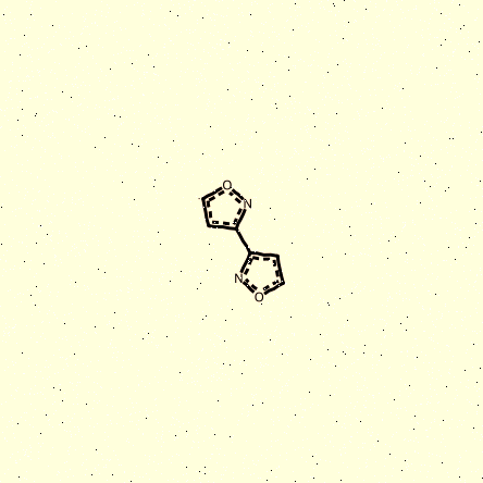 [c]1cc(-c2ccon2)no1